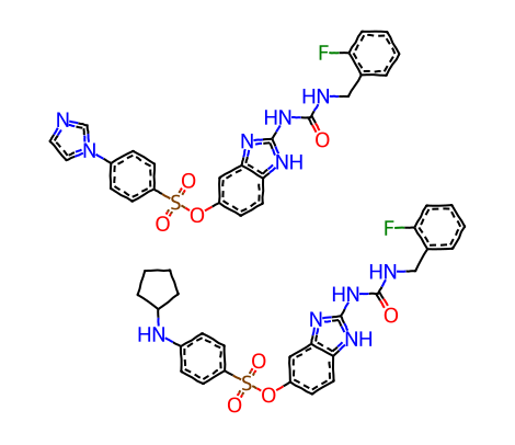 O=C(NCc1ccccc1F)Nc1nc2cc(OS(=O)(=O)c3ccc(-n4ccnc4)cc3)ccc2[nH]1.O=C(NCc1ccccc1F)Nc1nc2cc(OS(=O)(=O)c3ccc(NC4CCCC4)cc3)ccc2[nH]1